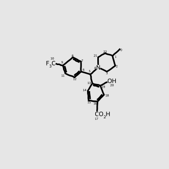 CC1CCN(C(c2ccc(C(F)(F)F)cc2)c2ccc(C(=O)O)cc2O)CC1